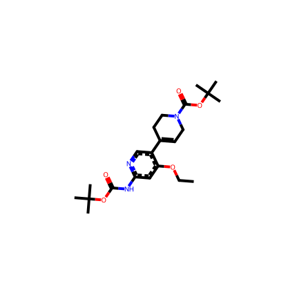 CCOc1cc(NC(=O)OC(C)(C)C)ncc1C1=CCN(C(=O)OC(C)(C)C)CC1